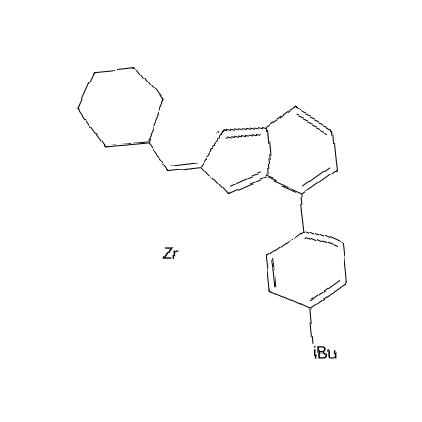 CCC(C)c1ccc(-c2cccc3c2=CC(=CC2CCCCC2)[C]=3)cc1.[Zr]